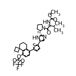 COC(=O)N[C@H](C(=O)N1CCC[C@H]1c1ncc(-c2ccc(-c3ccc(OS(=O)(=O)C(F)(F)F)c4c3CCCC43CCC3)s2)[nH]1)C(C)C